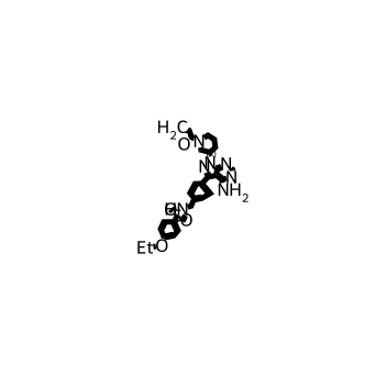 C=CC(=O)N1CCC[C@@H](n2nc(-c3ccc(CNS(=O)(=O)c4ccc(OCC)cc4)cc3)c3c(N)ncnc32)C1